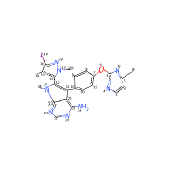 Cc1ccnc(Oc2ccc(-c3c(-c4c(C)c(I)nn4C)n(C)c4ncnc(N)c34)cc2)n1